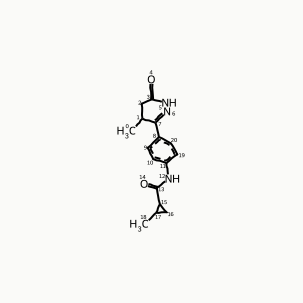 CC1CC(=O)NN=C1c1ccc(NC(=O)C2CC2C)cc1